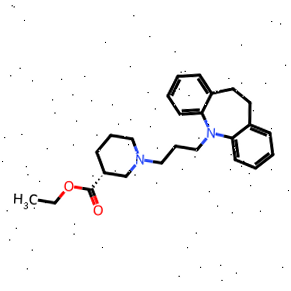 CCOC(=O)[C@@H]1CCCN(CCCN2c3ccccc3CCc3ccccc32)C1